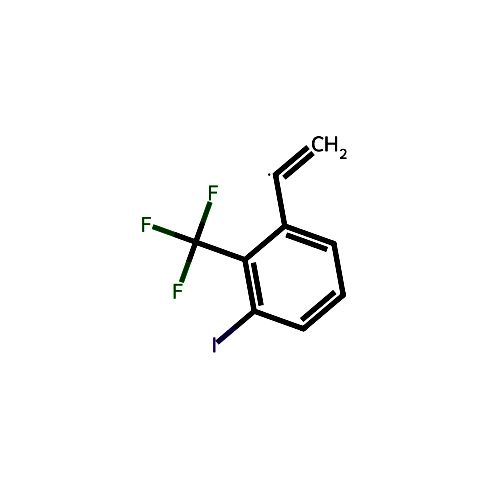 C=[C]c1cccc(I)c1C(F)(F)F